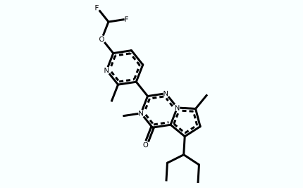 CCC(CC)c1cc(C)n2nc(-c3ccc(OC(F)F)nc3C)n(C)c(=O)c12